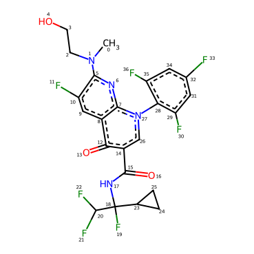 CN(CCO)c1nc2c(cc1F)c(=O)c(C(=O)NC(F)(C(F)F)C1CC1)cn2-c1c(F)cc(F)cc1F